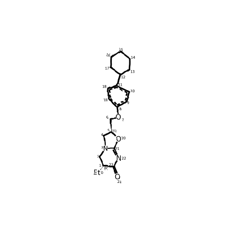 CC[C@@H]1CN2C[C@@H](COc3ccc(C4CCCCC4)cc3)OC2=NC1=O